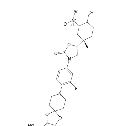 CC(=O)[NH+]([O-])C1C[C@@](C)(C2CN(c3ccc(N4CCC5(CC4)OCC(CO)O5)c(F)c3)C(=O)O2)CCC1C(C)C